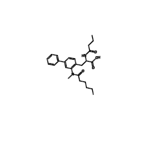 CCCCCC(=O)N(C)c1cc(-c2ccccc2)ccc1CC(NC(=O)CCC)C(=O)O